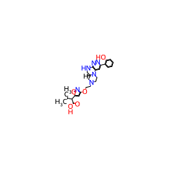 CC(C)C(C(=O)O)c1cc(OCCN2CCN3c4cc(-c5ccccc5O)nnc4NC[C@H]3C2)no1